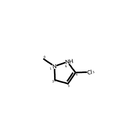 CN1[C]C=C(Cl)N1